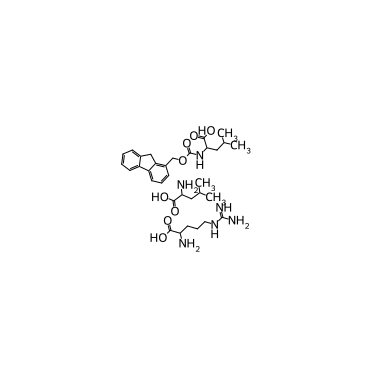 CC(C)CC(N)C(=O)O.CC(C)CC(NC(=O)OCc1cccc2c1Cc1ccccc1-2)C(=O)O.N=C(N)NCCCC(N)C(=O)O